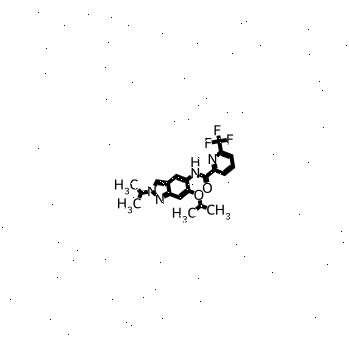 CC(C)Oc1cc2nn(C(C)C)cc2cc1NC(=O)c1cccc(C(F)(F)F)n1